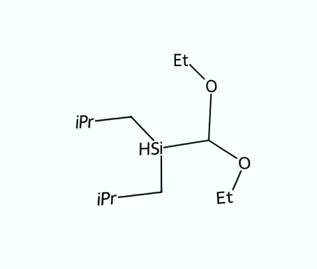 CCOC(OCC)[SiH](CC(C)C)CC(C)C